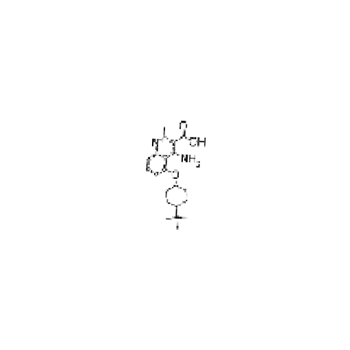 Cc1nc2cccc(O[C@H]3CC[C@H](C(C)(C)C)CC3)c2c(N)c1C(=O)O